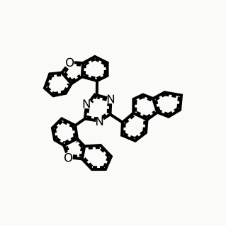 c1ccc2c(c1)ccc1c(-c3nc(-c4cccc5oc6ccccc6c45)nc(-c4cccc5oc6ccccc6c45)n3)cccc12